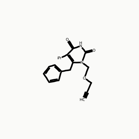 C#CCOCn1c(Cc2ccccc2)c(C(C)C)c(=O)[nH]c1=O